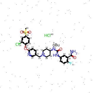 CCCCN(C(=O)Nc1ccc(F)c(C(N)=O)c1)C1CCN(Cc2ccc(Oc3ccc(S(C)(=O)=O)cc3Cl)nc2)CC1.Cl